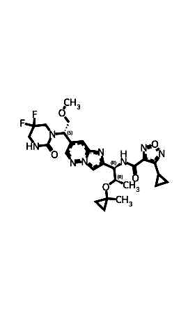 COC[C@H](c1cnn2cc([C@@H](NC(=O)c3nonc3C3CC3)[C@@H](C)OC3(C)CC3)nc2c1)N1CC(F)(F)CNC1=O